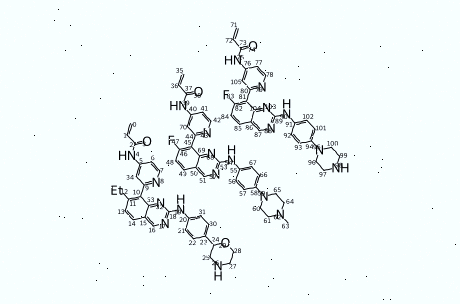 C=CC(=O)Nc1ccnc(-c2c(CC)ccc3cnc(Nc4ccc(C5CNCCO5)cc4)nc23)c1.C=CC(=O)Nc1ccnc(-c2c(F)ccc3cnc(Nc4ccc(N5CCN(C)CC5)cc4)nc23)c1.C=CC(=O)Nc1ccnc(-c2c(F)ccc3cnc(Nc4ccc(N5CCNCC5)cc4)nc23)c1